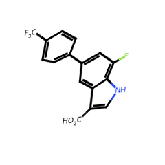 O=C(O)c1c[nH]c2c(F)cc(-c3ccc(C(F)(F)F)cc3)cc12